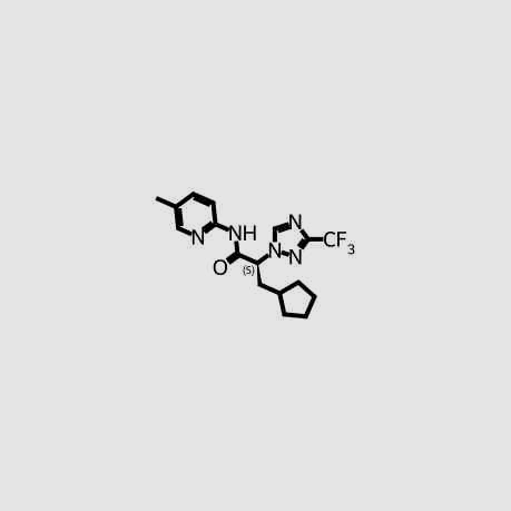 Cc1ccc(NC(=O)[C@H](CC2CCCC2)n2cnc(C(F)(F)F)n2)nc1